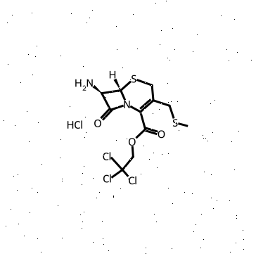 CSCC1=C(C(=O)OCC(Cl)(Cl)Cl)N2C(=O)[C@@H](N)[C@@H]2SC1.Cl